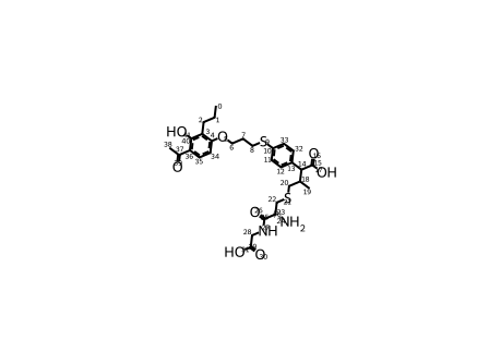 CCCc1c(OCCCSc2ccc(C(C(=O)O)C(C)CSC[C@H](N)C(=O)NCC(=O)O)cc2)ccc(C(C)=O)c1O